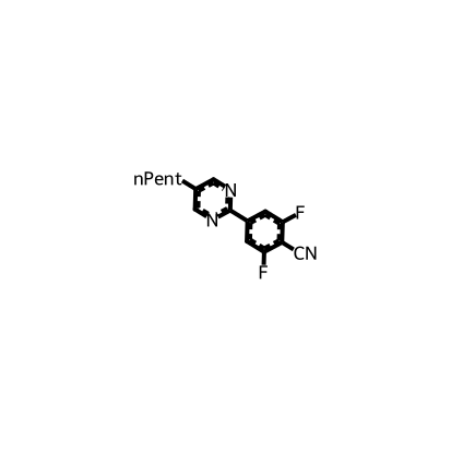 CCCCCc1cnc(-c2cc(F)c(C#N)c(F)c2)nc1